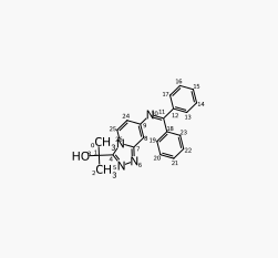 CC(C)(O)c1nnc2cc(N=C(c3ccccc3)c3ccccc3)ccn12